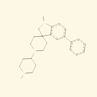 CCOC(=O)N1CCC(N2CCC3(CC2)CN(C(C)=O)c2ccc(-c4ccccc4)cc23)CC1